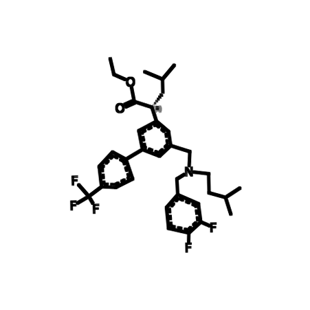 CCOC(=O)[C@H](CC(C)C)c1cc(CN(CCC(C)C)Cc2ccc(F)c(F)c2)cc(-c2ccc(C(F)(F)F)cc2)c1